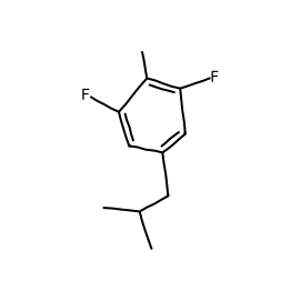 Cc1c(F)cc(CC(C)C)cc1F